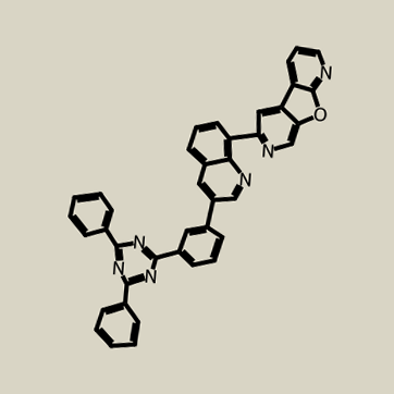 c1ccc(-c2nc(-c3ccccc3)nc(-c3cccc(-c4cnc5c(-c6cc7c(cn6)oc6ncccc67)cccc5c4)c3)n2)cc1